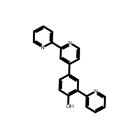 Oc1ccc(-c2ccnc(-c3ccccn3)c2)cc1-c1ccccn1